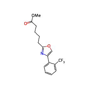 COC(=O)CCCCc1nc(-c2ccccc2C(F)(F)F)co1